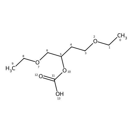 CCOCCC(COCC)OC(=O)O